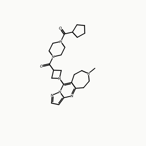 CN1CCc2nc3ccnn3c(N3CC(C(=O)N4CCN(C(=O)C5CCCC5)CC4)C3)c2CC1